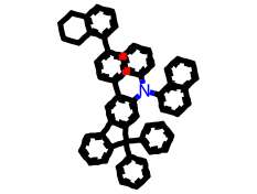 c1ccc(N(c2cc3c(cc2-c2ccc(-c4cccc5c4CCCC5)cc2)-c2ccccc2C3(c2ccccc2)c2ccccc2)c2cccc3ccccc23)cc1